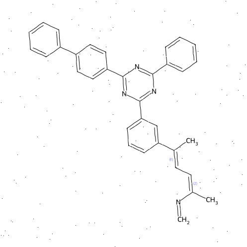 C=N/C(C)=C\C=C(/C)c1cccc(-c2nc(-c3ccccc3)nc(-c3ccc(-c4ccccc4)cc3)n2)c1